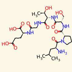 CC(C)C[C@H](N)C(=O)N1CCC[C@H]1C(=O)N[C@@H](CO)C(=O)N[C@H](C(=O)NCC(=O)N[C@@H](CCC(=O)O)C(=O)O)[C@@H](C)O